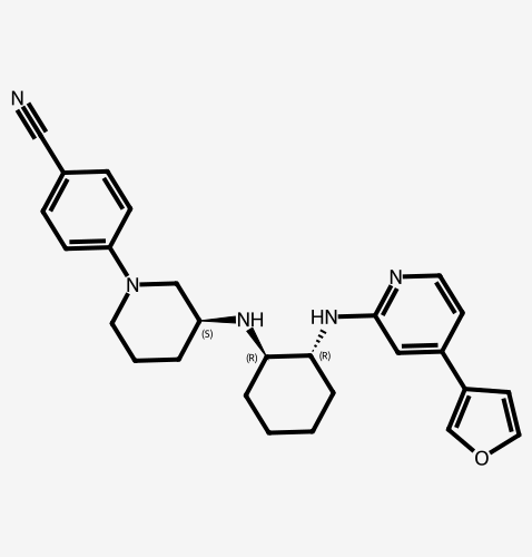 N#Cc1ccc(N2CCC[C@H](N[C@@H]3CCCC[C@H]3Nc3cc(-c4ccoc4)ccn3)C2)cc1